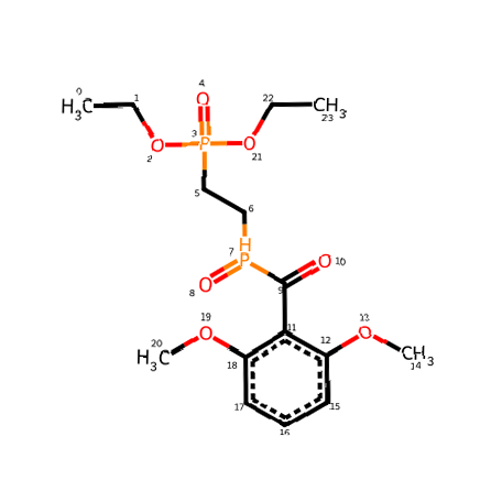 CCOP(=O)(CC[PH](=O)C(=O)c1c(OC)cccc1OC)OCC